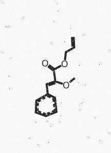 C=CCOC(=O)C(=Cc1ccccc1)OC